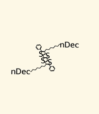 CCCCCCCCCCCCCCCCCc1c(-c2ccccc2)sc2c1sc1c3sc(-c4ccccc4)c(CCCCCCCCCCCCCCCCC)c3sc21